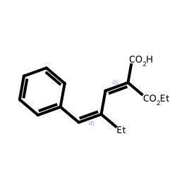 CCOC(=O)/C(=C\C(=C/c1ccccc1)CC)C(=O)O